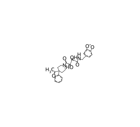 CC(=O)C1(c2ccccc2)CCN(C(=O)[C@H](O)[C@@H](O)C(=O)NCc2ccc3c(c2)OCO3)CC1